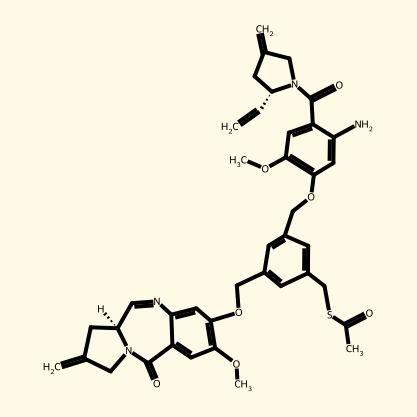 C=C[C@@H]1CC(=C)CN1C(=O)c1cc(OC)c(OCc2cc(COc3cc4c(cc3OC)C(=O)N3CC(=C)C[C@H]3C=N4)cc(CSC(C)=O)c2)cc1N